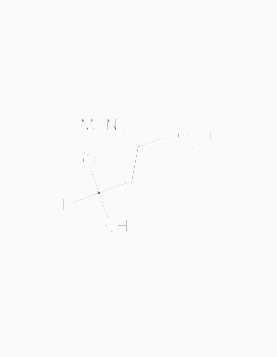 CCOC(=O)C(CC(C)(C)F)NC